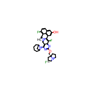 C#Cc1c(F)ccc2cc(O)cc(-c3ncc4c(N5C6CCCCC5C6)nc(OC[C@@]56CCCN5C[C@H](F)C6)nc4c3F)c12